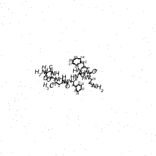 CC(CNC(=O)NC(CNC(=O)N[C@H](CNC(=O)NCCN)Cc1ccccc1)Cc1ccccc1)NC(=O)NC(C)C(N)=O